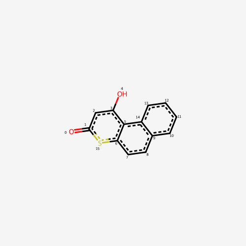 O=c1cc(O)c2c(ccc3ccccc32)s1